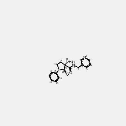 O=C(NCc1cccnc1)[C@@]1(O)CCN(c2ccccc2)C1=O